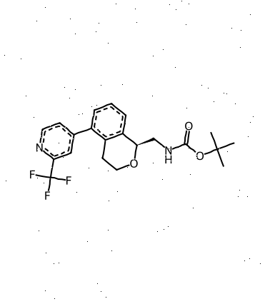 CC(C)(C)OC(=O)NC[C@H]1OCCc2c(-c3ccnc(C(F)(F)F)c3)cccc21